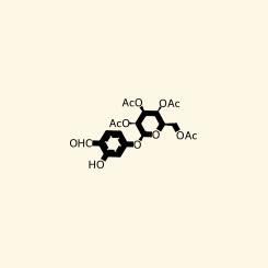 CC(=O)OC[C@H]1O[C@@H](Oc2ccc(C=O)c(O)c2)[C@H](OC(C)=O)[C@@H](OC(C)=O)[C@@H]1OC(C)=O